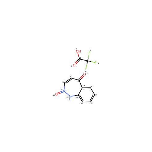 O=C(O)C(F)(F)F.O=c1cc[n+](=O)[nH]c2ccccc12